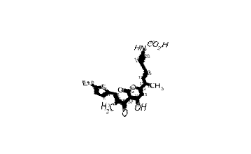 CCc1ccc(C=C(C)C(=O)c2c(O)cc(C(C)CCC=CNC(=O)O)oc2=O)s1